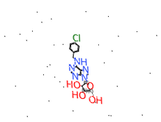 OC[C@H]1O[C@@H](n2cnc3c(NCc4ccc(Cl)cc4)ncnc32)C(O)[C@H]1O